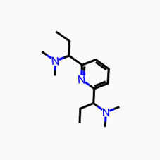 CCC(c1cccc(C(CC)N(C)C)n1)N(C)C